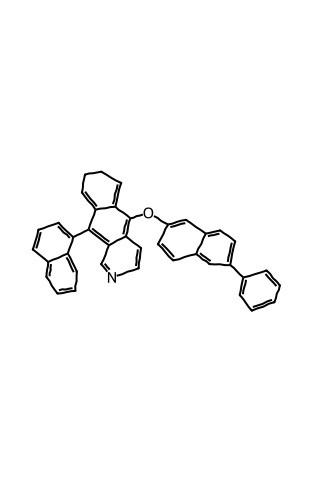 C1=c2c(Oc3ccc4cc(-c5ccccc5)ccc4c3)c3ccncc3c(-c3cccc4ccccc34)c2=CCC1